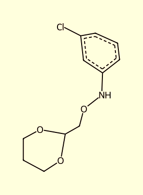 Clc1cccc(NOCC2OCCCO2)c1